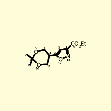 CCOC(=O)c1cc(C2COC(C)(C)OC2)on1